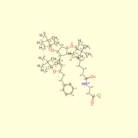 CC(C)(C)[Si](C)(C)OC(CCc1ccccc1)CC[C@H]1C(O[Si](C)(C)C(C)(C)C)CC(O[Si](C)(C)C(C)(C)C)[C@@H]1C/C=C\CCCC(=O)NCCC(=O)Cl